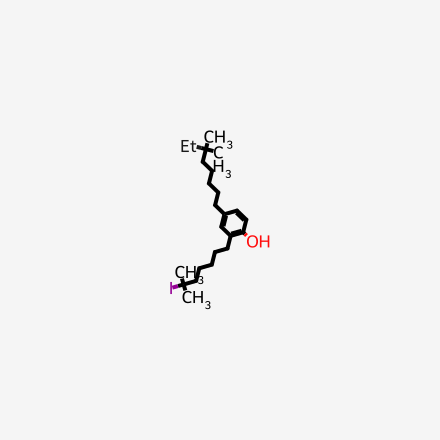 CCC(C)(C)CCCCCc1ccc(O)c(CCCCCC(C)(C)I)c1